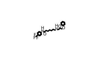 O=C(CCCCCCNCC1COc2ccccc2O1)Nc1ccc(C(F)(F)F)cc1